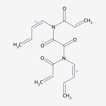 C=C/C=C\N(C(=O)C=C)C(=O)C(=O)N(/C=C\C=C)C(=O)C=C